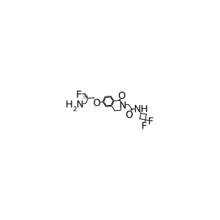 NC/C(=C\F)COc1ccc2c(c1)CCN(CC(=O)NC1CC(F)(F)C1)C2=O